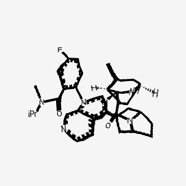 C=C1C[C@H]2CC[C@@H]1[C@@H](C(=O)N1C3CCC1CC(c1cn(-c4ccc(F)cc4C(=O)N(C)C(C)C)c4cnccc14)C3)N2